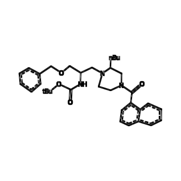 CCCCC1CN(C(=O)c2cccc3ccccc23)CCN1CC(COCc1ccccc1)NC(=O)OC(C)(C)C